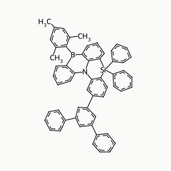 Cc1cc(C)c(B2c3ccccc3N3c4cc(-c5cc(-c6ccccc6)cc(-c6ccccc6)c5)ccc4[Si](c4ccccc4)(c4ccccc4)c4cccc2c43)c(C)c1